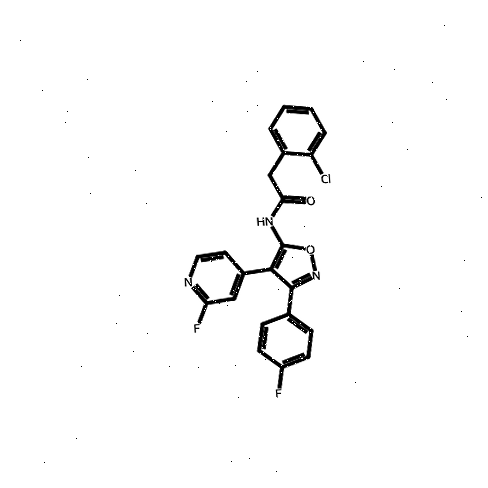 O=C(Cc1ccccc1Cl)Nc1onc(-c2ccc(F)cc2)c1-c1ccnc(F)c1